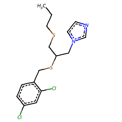 CCCSCC(Cn1ccnc1)SCc1ccc(Cl)cc1Cl